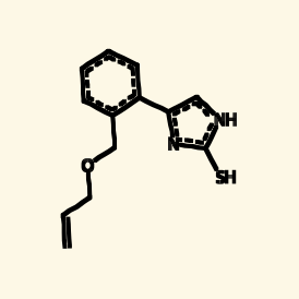 C=CCOCc1ccccc1-c1c[nH]c(S)n1